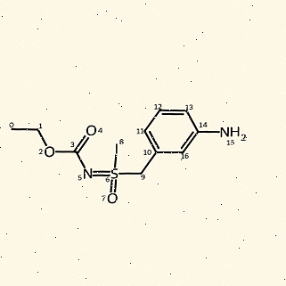 CCOC(=O)N=S(=O)(I)Cc1cccc(N)c1